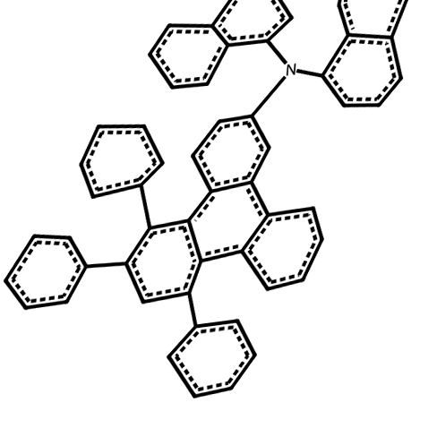 c1ccc(-c2cc(-c3ccccc3)c3c4ccccc4c4cc(N(c5cccc6ccccc56)c5cccc6ccccc56)ccc4c3c2-c2ccccc2)cc1